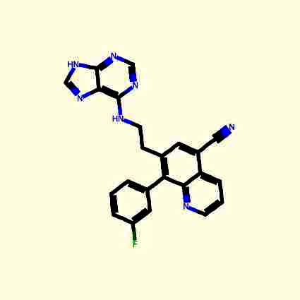 N#Cc1cc(CCNc2ncnc3[nH]cnc23)c(-c2cccc(F)c2)c2ncccc12